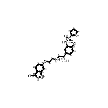 O=S(=O)(Nc1cc([C@@H](O)CNCCOc2ccc3c(Cl)n[nH]c3c2)ccc1Cl)c1cccs1